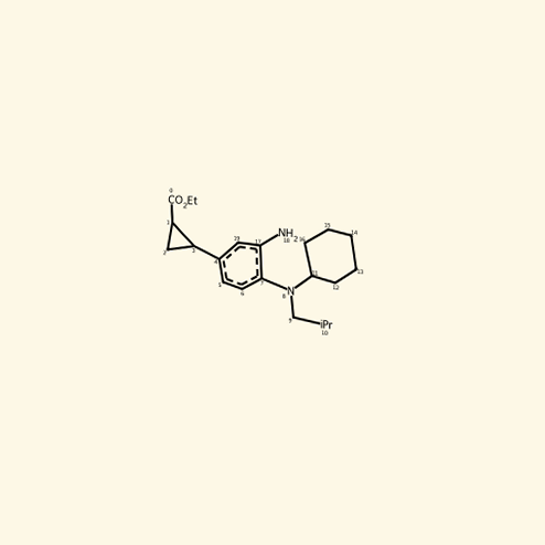 CCOC(=O)C1CC1c1ccc(N(CC(C)C)C2CCCCC2)c(N)c1